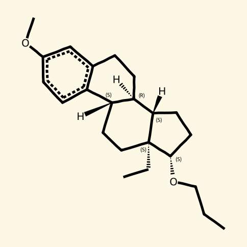 CCCO[C@H]1CC[C@H]2[C@@H]3CCc4cc(OC)ccc4[C@H]3CC[C@]12CC